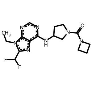 CCn1c(C(F)F)nc2c(NC3CCN(C(=O)N4CCC4)C3)ncnc21